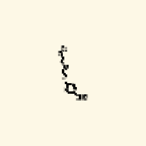 CCOCCOCCOc1ccc(C=O)cn1